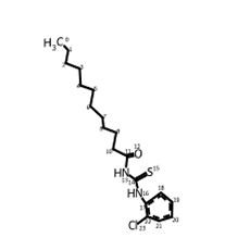 CCCCCCCCCCCC(=O)NC(=S)Nc1ccccc1Cl